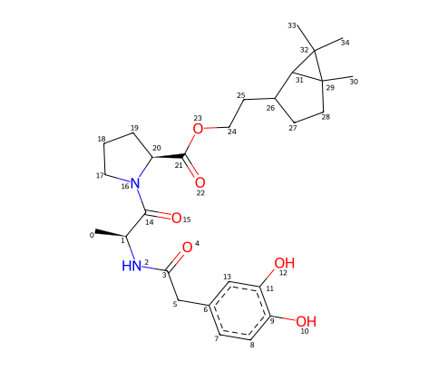 C[C@H](NC(=O)Cc1ccc(O)c(O)c1)C(=O)N1CCC[C@H]1C(=O)OCCC1CCC2(C)C1C2(C)C